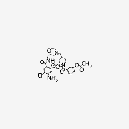 COc1cc(N)c(Cl)cc1C(=O)NCC1CN(CC2CCN(C(=O)c3cccc(OC(C)=O)c3)CC2)CCO1